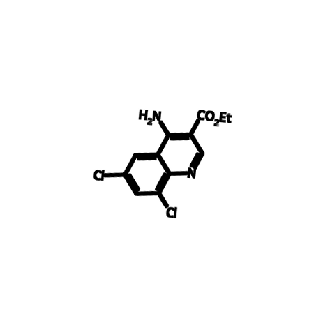 CCOC(=O)c1cnc2c(Cl)cc(Cl)cc2c1N